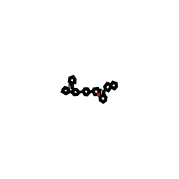 c1ccc(-n2c3ccccc3c3ccc(-c4ccc(-c5ccc6c(c5)c5ccccc5n6-c5ccc6ccccc6c5)cc4)cc32)cc1